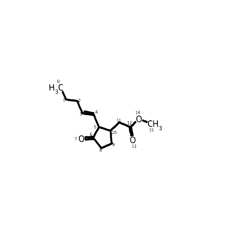 CCC/C=C/C1C(=O)CCC1CC(=O)OC